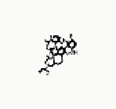 C=CC(=O)N1CC(C)N2c3nc(=O)n(-c4c(C)ccnc4C(C)C)c4cc(-c5c(O)ccc(F)c5F)c(F)c(c34)OCCC2C1